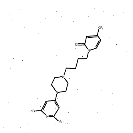 CCCc1cc(N2CCN(CCCCn3ccc(C(F)(F)F)cc3=O)CC2)nc(C(C)(C)C)n1